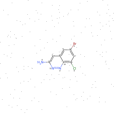 Nc1cc2cc(Br)cc(Cl)c2nn1